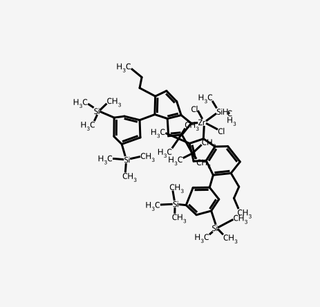 CCCc1ccc2c(c1-c1cc([Si](C)(C)C)cc([Si](C)(C)C)c1)C=C(C(C)(C)C)[CH]2[Zr]([Cl])([Cl])([CH]1C(C(C)(C)C)=Cc2c1ccc(CCC)c2-c1cc([Si](C)(C)C)cc([Si](C)(C)C)c1)[SiH](C)C